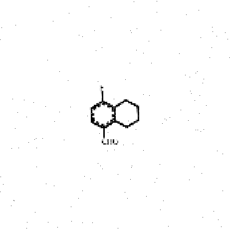 O=Cc1ccc(F)c2c1CCCC2